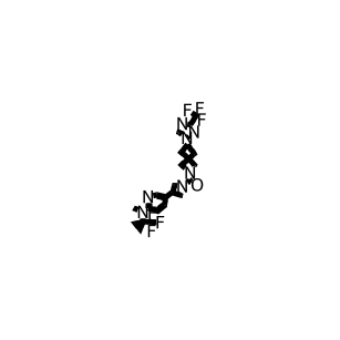 CN(c1ccc(C2CN(C(=O)N3CC4(CC(n5cnc(C(F)(F)F)n5)C4)C3)C2)cn1)C1(C(F)(F)F)CC1